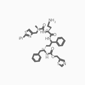 CC(C)c1nc(CN(C)C(=O)N[C@@H](CCN)C(=O)NC(CC[C@@H](Cc2ccccc2)NC(=O)OCc2cncs2)c2ccccc2)cs1